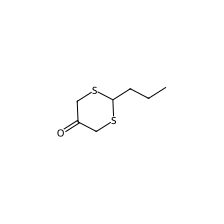 CCCC1SCC(=O)CS1